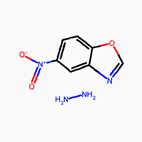 NN.O=[N+]([O-])c1ccc2ocnc2c1